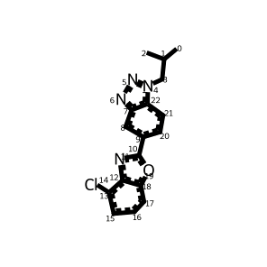 CC(C)Cn1nnc2cc(-c3nc4c(Cl)cccc4o3)ccc21